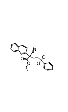 CCOC(=O)C(C#N)(CCS(=O)(=O)c1ccccc1)c1ccc2ccccc2c1